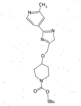 Cc1cc(C2=NCC(COC3CCN(C(=O)OC(C)(C)C)CC3)=N2)ccn1